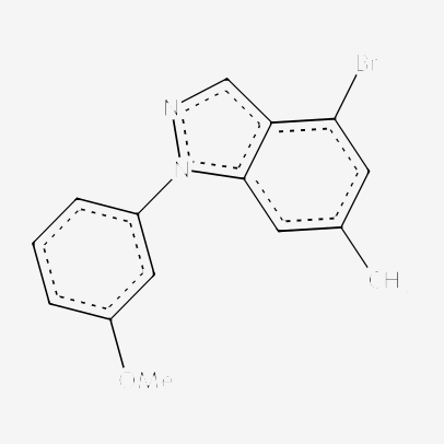 COc1cccc(-n2ncc3c(Br)cc(C)cc32)c1